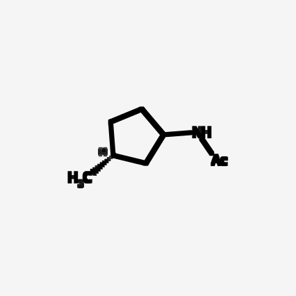 CC(=O)NC1CC[C@@H](C)C1